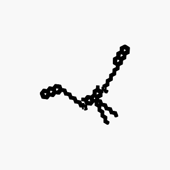 CCCCCCCCC1(CCCCCCCC)c2cc(N(C)CCCCCCCCc3ccc4cc5ccccc5cc4c3)c(C)cc2-c2cc(C)c(N(C)CCCCCCCCc3ccc4cc5ccccc5cc4c3)cc21